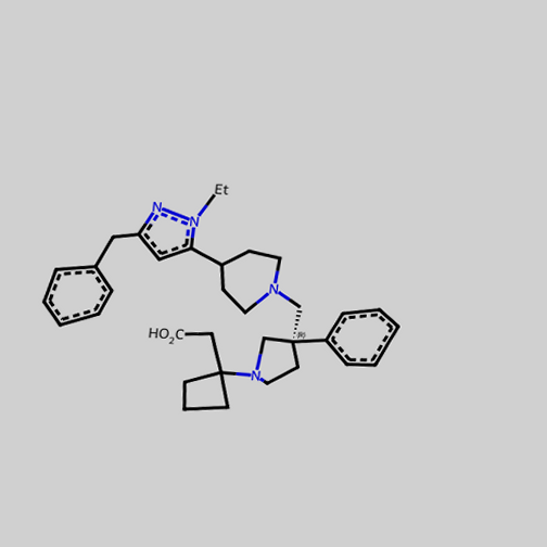 CCn1nc(Cc2ccccc2)cc1C1CCN(C[C@]2(c3ccccc3)CCN(C3(CC(=O)O)CCC3)C2)CC1